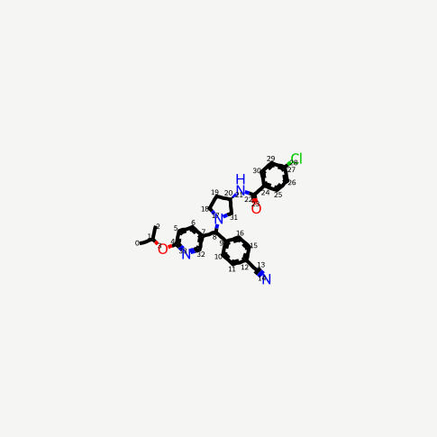 CC(C)Oc1ccc(C(c2ccc(C#N)cc2)N2CC[C@@H](NC(=O)c3ccc(Cl)cc3)C2)cn1